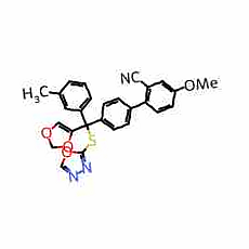 COc1ccc(-c2ccc(C(Sc3nnco3)(C3=COCO3)c3cccc(C)c3)cc2)c(C#N)c1